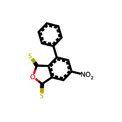 O=[N+]([O-])c1cc2c(c(-c3ccccc3)c1)C(=S)OC2=S